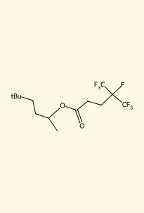 CC(CCC(C)(C)C)OC(=O)CCC(F)(C(F)(F)F)C(F)(F)F